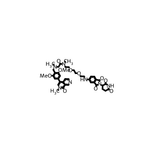 COc1cc(-c2cn(C)c(=O)c3cnccc23)cc(OC)c1CN(C)CC(=O)N(C)CCOCCOCCNc1ccc2c(c1)C(=O)N(C1CCC(=O)NC1=O)C2=O